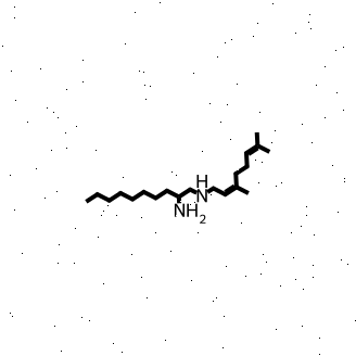 CCCCCCCCC(N)CNCC=C(C)CCC=C(C)C